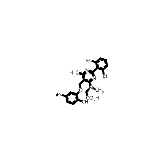 CCc1cccc(CC)c1-c1nc(C)c(COc2cc(C(C)C)ccc2C)c(N(C)CC(=O)O)n1